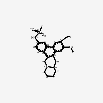 CCc1cc2c(cc1OC)c1c(c3ccc(NS(C)(=O)=O)cc32)CN2CCCCC2C1